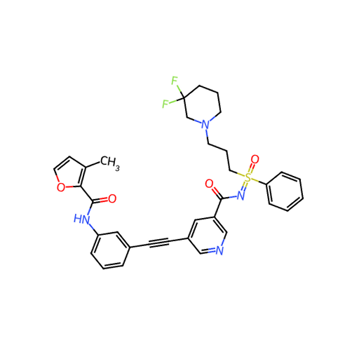 Cc1ccoc1C(=O)Nc1cccc(C#Cc2cncc(C(=O)N=S(=O)(CCCN3CCCC(F)(F)C3)c3ccccc3)c2)c1